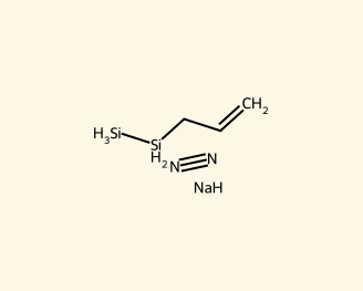 C=CC[SiH2][SiH3].N#N.[NaH]